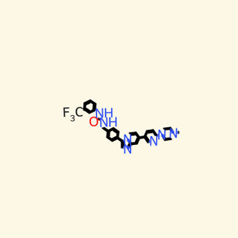 CN1CCN(c2ccc(-c3ccn4c(-c5ccc(CNC(=O)Nc6cccc(C(F)(F)F)c6)cc5)cnc4c3)cn2)CC1